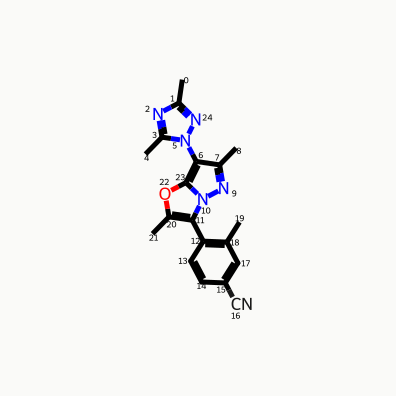 Cc1nc(C)n(-c2c(C)nn3c(-c4ccc(C#N)cc4C)c(C)oc23)n1